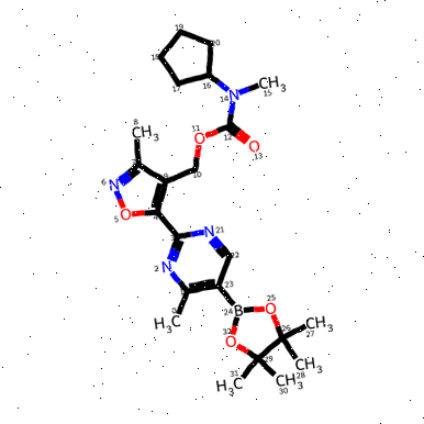 Cc1nc(-c2onc(C)c2COC(=O)N(C)C2CCCC2)ncc1B1OC(C)(C)C(C)(C)O1